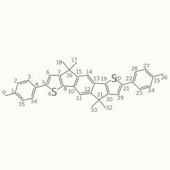 Cc1ccc(-c2cc3c(s2)-c2cc4c(cc2C3(C)C)-c2sc(-c3ccc(C)cc3)cc2C4(C)C)cc1